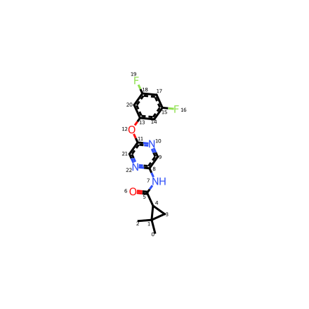 CC1(C)CC1C(=O)Nc1cnc(Oc2cc(F)cc(F)c2)cn1